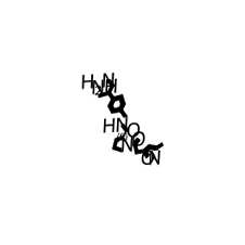 Cc1cc(CC(=O)N2CCC[C@H]2C(=O)NCc2ccc(C(C=N)CN)cc2)on1